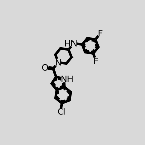 O=C(c1cc2cc(Cl)ccc2[nH]1)N1CCC(Nc2cc(F)cc(F)c2)CC1